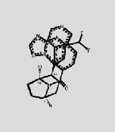 O=C(c1ccc2cnccc2c1)N1[C@H]2CC[C@H](c3cc(C(F)F)nc4ncnn34)[C@@H]1CC2